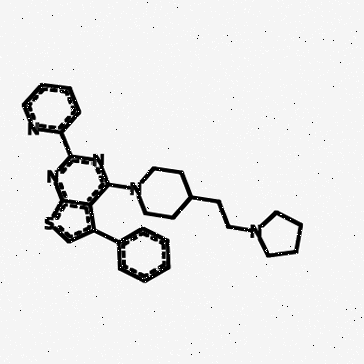 c1ccc(-c2csc3nc(-c4ccccn4)nc(N4CCC(CCN5CCCC5)CC4)c23)cc1